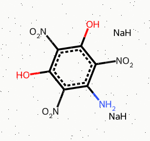 Nc1c([N+](=O)[O-])c(O)c([N+](=O)[O-])c(O)c1[N+](=O)[O-].[NaH].[NaH]